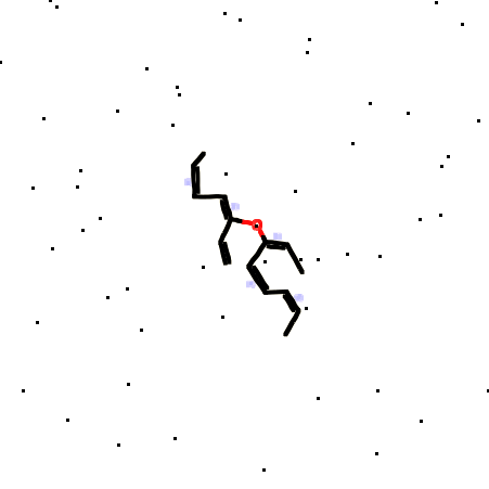 C=C/C(=C\C=C/C)OC(/C=C\C=C/C)=C/C